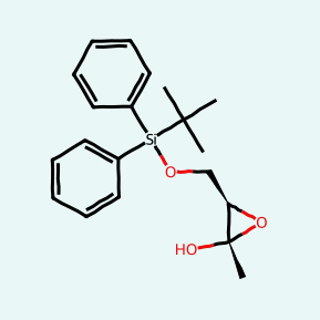 CC(C)(C)[Si](OC[C@H]1O[C@]1(C)O)(c1ccccc1)c1ccccc1